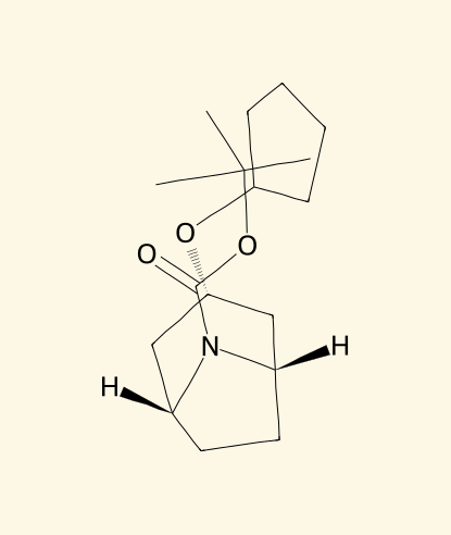 CC(C)(C)OC(=O)N1[C@@H]2CC[C@H]1C[C@@H](OC1CCCC1)C2